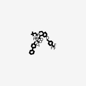 COC(=O)[C@H](Cc1ccc(-c2ccccc2)cc1)NC(=O)C1c2cc(OCc3ccc(C(F)(F)F)cc3)ccc2CCN1C(=O)CC(C)(C)C